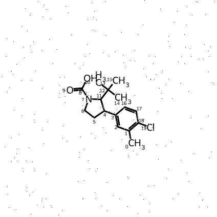 Cc1cc(C2CCN(C(=O)O)C2C(C)(C)C)ccc1Cl